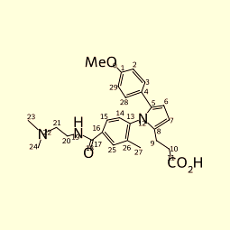 COc1ccc(-c2ccc(CCC(=O)O)n2-c2ccc(C(=O)NCCN(C)C)cc2C)cc1